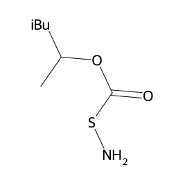 CCC(C)C(C)OC(=O)SN